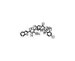 CC(C)C[C@H](NS(=O)(=O)c1ccc(Cl)cc1Cl)C(=O)N1C[C@@H]2C[C@H]1CN2C(=O)C(NC(=O)c1cc2ccccc2s1)C(C)(C)C